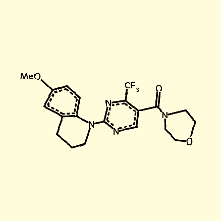 COc1ccc2c(c1)CCCN2c1ncc(C(=O)N2CCOCC2)c(C(F)(F)F)n1